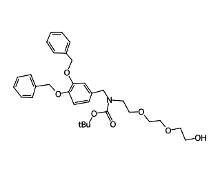 CC(C)(C)OC(=O)N(CCOCCOCCO)Cc1ccc(OCc2ccccc2)c(OCc2ccccc2)c1